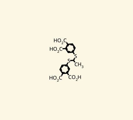 CC(Sc1ccc(C(=O)O)c(C(=O)O)c1)Sc1ccc(C(=O)O)c(C(=O)O)c1